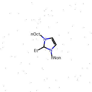 CCCCCCCCCN1C=CN(CCCCCCCC)C1CC